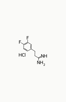 Cl.N=C(N)CCc1ccc(F)c(F)c1